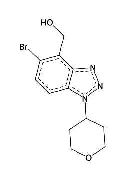 OCc1c(Br)ccc2c1nnn2C1CCOCC1